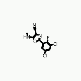 CNc1oc(-c2cc(Cl)cc(Cl)c2F)nc1C#N